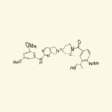 C=C(C=N)c1cc(C(=O)N2CC[C@@H](N3Cc4cnc(Nc5cc(OC)cc(OC)c5)nc4C3)C[C@H]2C)ccc1NC